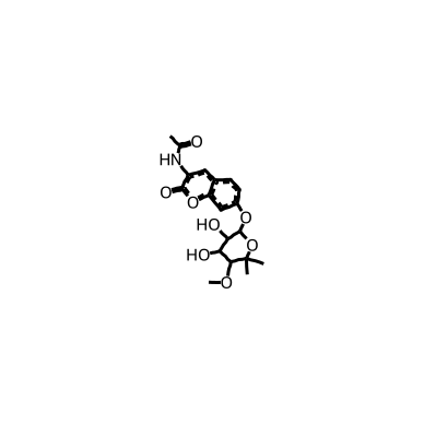 COC1C(O)C(O)C(Oc2ccc3cc(NC(C)=O)c(=O)oc3c2)OC1(C)C